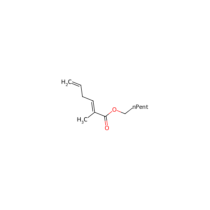 C=CCC=C(C)C(=O)OCCCCCC